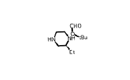 CC(C)(C)OC=O.CC[C@H]1CNCCN1